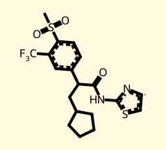 CS(=O)(=O)c1ccc(C(CC2CCCC2)C(=O)Nc2n[c]cs2)cc1C(F)(F)F